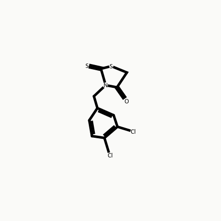 O=C1CSC(=S)N1Cc1ccc(Cl)c(Cl)c1